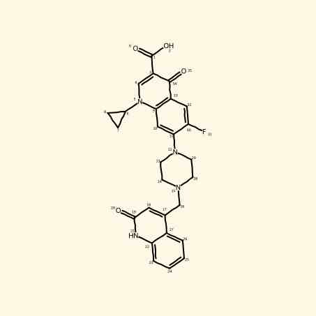 O=C(O)c1cn(C2CC2)c2cc(N3CCN(Cc4cc(=O)[nH]c5ccccc45)CC3)c(F)cc2c1=O